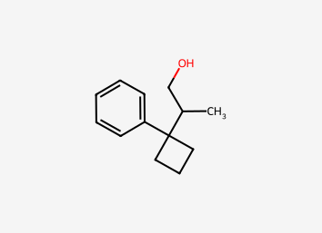 CC(CO)C1(c2ccccc2)CCC1